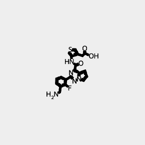 NCc1cccc(-c2nc(C(=O)Nc3cscc3CC(=O)O)c3cccn3n2)c1F